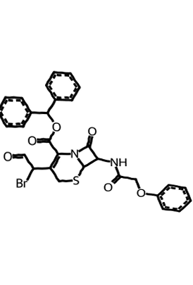 O=CC(Br)C1=C(C(=O)OC(c2ccccc2)c2ccccc2)N2C(=O)C(NC(=O)COc3ccccc3)C2SC1